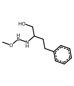 COBNC(CO)CCc1ccccc1